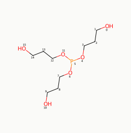 OCCCOP(OCCCO)OCCCO